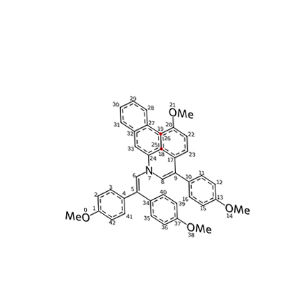 COc1ccc(C(=CN(C=C(c2ccc(OC)cc2)c2ccc(OC)cc2)c2ccc3ccccc3c2)c2ccc(OC)cc2)cc1